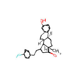 C[C@]12CC[C@@H]3c4ccc(O)cc4CC[C@H]3[C@@H]1C(CCc1ccc(F)cc1)CC2=O